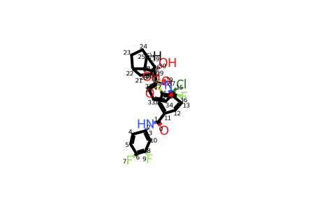 O=C(Nc1ccc(F)c(F)c1)c1ccc(Cl)c(S(=O)(=O)[C@@H]2CC3CC[C@@H](C2)[C@@]3(O)[C@H](O)c2cccc(F)n2)c1